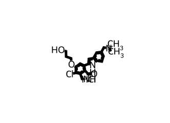 CN(C)Cc1ccc2[nH]c(-c3cc(OCCCO)c(Cl)c4c3C(=O)NC4)cc2c1.Cl